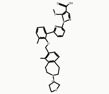 COc1c(C(=O)O)cnn1-c1cccc(-c2cccc(C)c2OCc2ccc3c(c2C)CCN([C@@H]2CCOC2)CC3)n1